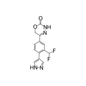 O=C1NN=C(c2ccc(-c3cn[nH]c3)c(C(F)F)c2)CO1